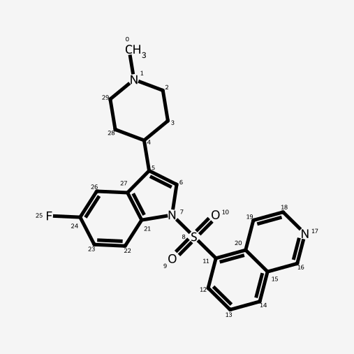 CN1CCC(c2cn(S(=O)(=O)c3cccc4cnccc34)c3ccc(F)cc23)CC1